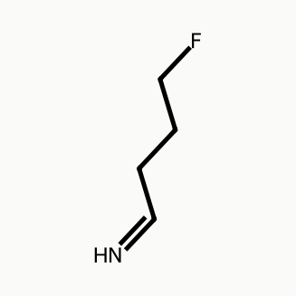 N=CCCCF